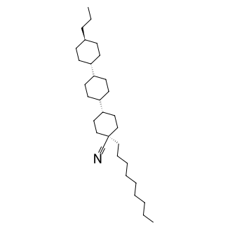 CCCCCCCCC[C@]1(C#N)CC[C@H](C2CCC([C@H]3CC[C@H](CCC)CC3)CC2)CC1